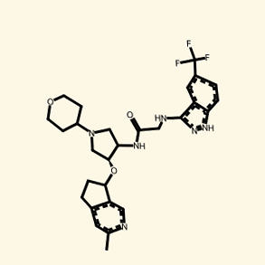 Cc1cc2c(cn1)C(O[C@H]1CN(C3CCOCC3)CC1NC(=O)CNc1n[nH]c3ccc(C(F)(F)F)cc13)CC2